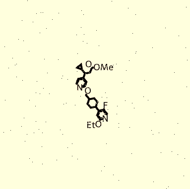 CCOc1cc(C2CCC(COc3cc(C(CC(=O)OC)C4CC4)ccn3)CC2)c(F)cn1